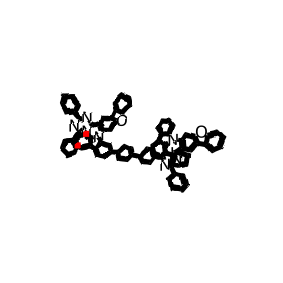 c1ccc(-c2nc(-c3ccccc3)nc(-c3cc4c(cc3-n3c5ccccc5c5ccc(-c6ccc(-c7ccc(-c8nc(-c9ccccc9)nc(-c9cc%10c(cc9-n9c%11ccccc%11c%11cccc(-c%12ccccc%12)c%119)oc9ccccc9%10)n8)cc7)cc6)cc53)oc3ccccc34)n2)cc1